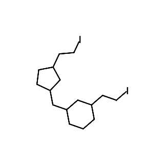 ICCC1CCCC(CC2CCC(CCI)C2)C1